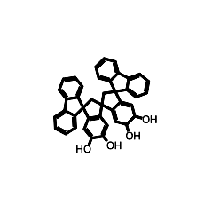 Oc1cc2c(cc1O)C1(CC23CC2(C4=CC(O)C(O)C=C43)c3ccccc3-c3ccccc32)c2ccccc2-c2ccccc21